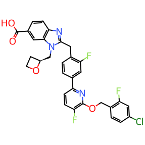 O=C(O)c1ccc2nc(Cc3ccc(-c4ccc(F)c(OCc5ccc(Cl)cc5F)n4)cc3F)n(C[C@@H]3CCO3)c2c1